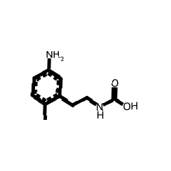 Cc1ccc(N)cc1CCNC(=O)O